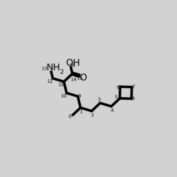 CC(CCCC1CCC1)CCC(CN)C(=O)O